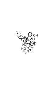 CC1CC2CC(C1)CC(C)(C(=O)O[C@H]1[C@@H]3C(=C(O)[C@]4(O)C(=O)C(C(N)=O)=C(O)[C@@H](N(C)C)[C@H]14)C(=O)c1c(O)cccc1[C@H]3C)C2